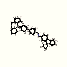 C1=Cc2ccccc2N(c2ccc(-c3ccc(/C=C/c4ccc5c(c4)C4(CCCC4)c4ccccc4-5)cc3)cc2)c2ccccc21